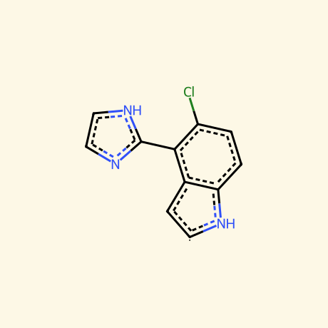 Clc1ccc2[nH][c]cc2c1-c1ncc[nH]1